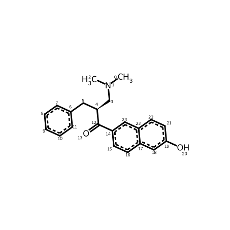 CN(C)C[C@H](Cc1ccccc1)C(=O)c1ccc2cc(O)ccc2c1